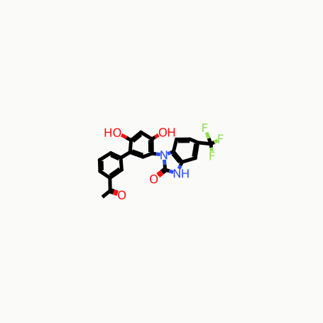 CC(=O)c1cccc(-c2cc(-n3c(=O)[nH]c4cc(C(F)(F)F)ccc43)c(O)cc2O)c1